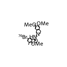 COc1cc2c(cc1OC)CN(CNC(=O)c1cc([76Br])cc(C)c1OC)CC2